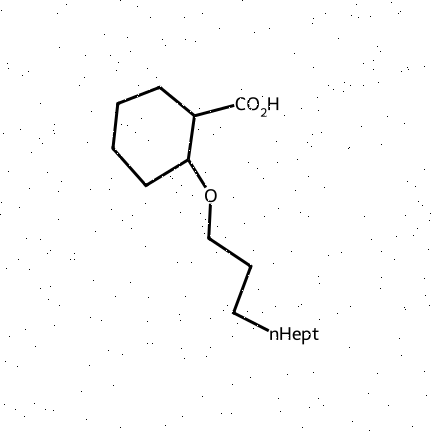 CCCCCCCCCCOC1CCCCC1C(=O)O